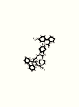 O=C(Nc1ccc2c(c1)nc(N1CCOCC1)n2CCCC1(C(=O)NCC(F)(F)F)c2ccccc2-c2ccccc21)c1ccccc1-c1ccc(C(F)(F)F)cc1